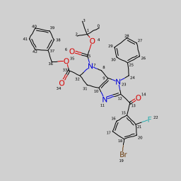 CC(C)(C)OC(=O)N1Cc2c(nc(C(=O)c3ccc(Br)cc3F)n2Cc2ccccc2)CC1C(=O)OCc1ccccc1